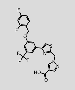 O=C(O)c1cnn(Cc2nc(-c3cc(OCc4ccc(F)cc4F)cc(C(F)(F)F)c3)cs2)c1